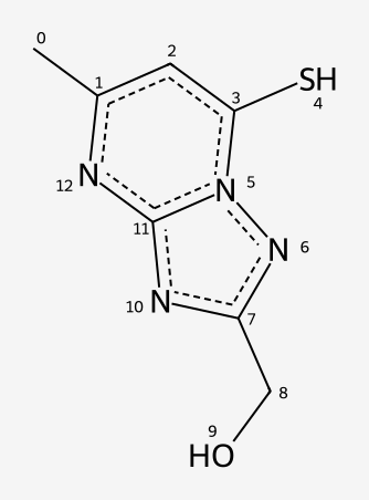 Cc1cc(S)n2nc(CO)nc2n1